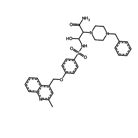 Cc1cc(COc2ccc(S(=O)(=O)NC(O)C(C(N)=O)N3CCN(Cc4ccccc4)CC3)cc2)c2ccccc2n1